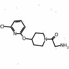 NCC(=O)N1CCC(Oc2cccc(Cl)n2)CC1